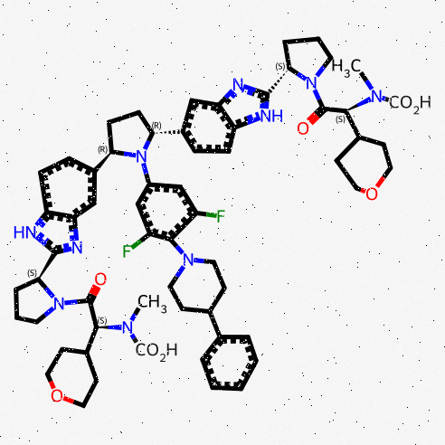 CN(C(=O)O)[C@H](C(=O)N1CCC[C@H]1c1nc2cc([C@H]3CC[C@H](c4ccc5[nH]c([C@@H]6CCCN6C(=O)[C@H](C6CCOCC6)N(C)C(=O)O)nc5c4)N3c3cc(F)c(N4CCC(c5ccccc5)CC4)c(F)c3)ccc2[nH]1)C1CCOCC1